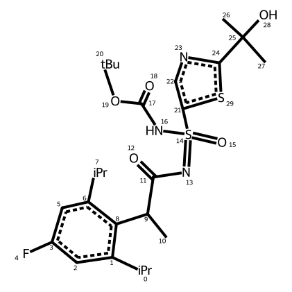 CC(C)c1cc(F)cc(C(C)C)c1C(C)C(=O)N=S(=O)(NC(=O)OC(C)(C)C)c1cnc(C(C)(C)O)s1